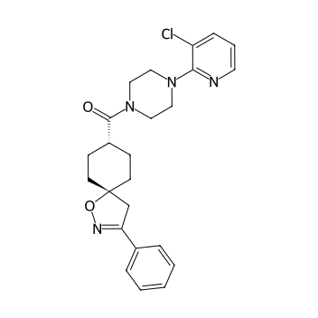 O=C([C@H]1CC[C@@]2(CC1)CC(c1ccccc1)=NO2)N1CCN(c2ncccc2Cl)CC1